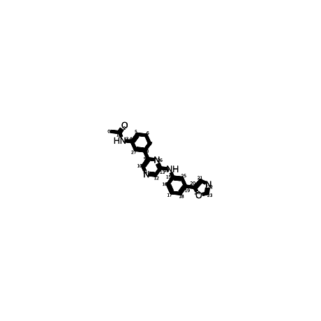 CC(=O)NC1=CCCC(c2cncc(Nc3cccc(-c4cnco4)c3)n2)=C1